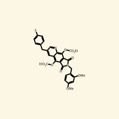 CCOC(=O)Oc1c2c(c(OC(=O)OCC)c3ncc(Cc4ccc(F)cc4)cc13)C(=O)N(Cc1ccc(OC)cc1OC)C2=O